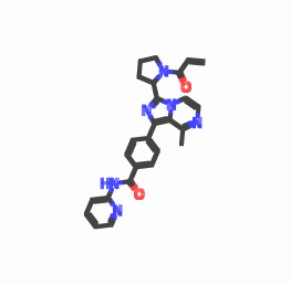 C=CC(=O)N1CCCC1c1nc(-c2ccc(C(=O)Nc3ccccn3)cc2)c2c(C)nccn12